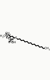 CCCCCCCCCCCCCCCCSCCC(C[N+](C)(C)C)OP(=O)([O-])O